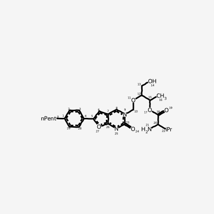 CCCCCc1ccc(-c2cc3cn(COC(CO)C(C)OC(=O)C(N)C(C)C)c(=O)nc3o2)cc1